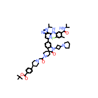 Cc1cc(F)c(Nc2nc(-c3ccc4c(c3)N(C3CC(N5CCCCC5)C3)C(=O)C43CCN(C(=O)CN4CCC(c5ccc(C(=O)OC(C)(C)C)cc5)CC4)CC3)cc3ncn(C(C)C)c23)cc1C(=O)NC(C)C